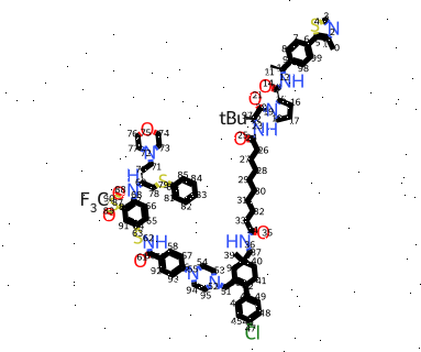 Cc1ncsc1-c1ccc([C@H](C)NC(=O)[C@@H]2CCCN2C(=O)[C@@H](NC(=O)CCCCCCCCC(=O)NCC2(C)CCC(c3ccc(Cl)cc3)=C(CN3CCN(c4ccc(C(=O)NSc5ccc(N[C@H](CCN6CCOCC6)CSc6ccccc6)c(S(=O)(=O)C(F)(F)F)c5)cc4)CC3)C2)C(C)(C)C)cc1